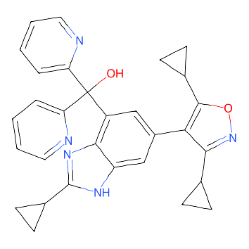 OC(c1ccccn1)(c1ccccn1)c1cc(-c2c(C3CC3)noc2C2CC2)cc2[nH]c(C3CC3)nc12